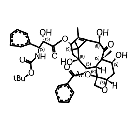 CC(=O)OC12CO[C@H]1C[C@H](O)[C@@]1(C)C(=O)[C@H](O)C3=C(C)[C@@H](OC(=O)[C@@H](O)[C@@H](NC(=O)OC(C)(C)C)c4ccccc4)C[C@@](O)([C@@H](CC(=O)c4ccccc4)[C@@H]21)C3(C)C